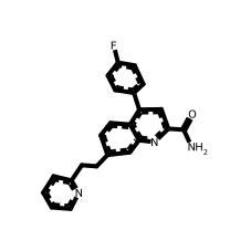 NC(=O)c1cc(-c2ccc(F)cc2)c2ccc(CCc3ccccn3)cc2n1